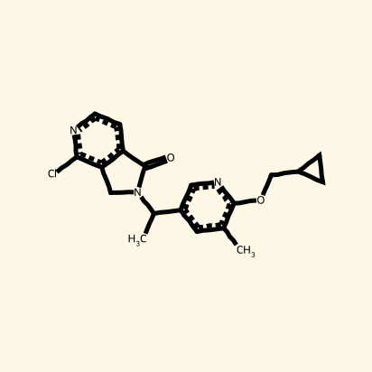 Cc1cc(C(C)N2Cc3c(ccnc3Cl)C2=O)cnc1OCC1CC1